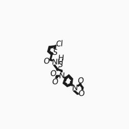 O=C(NC[C@@]1(S)CN(c2ccc(N3CCOCC3=O)cc2)C(=O)O1)c1ccc(Cl)s1